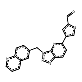 O=Cc1cc(-c2ccc3nnn(Cc4ccc5ncccc5c4)c3n2)cs1